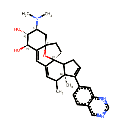 CC1C=C2C=C3[C@@H](O)[C@H](O)[C@@H](N(C)C)C[C@]34CC[C@]2(O4)C2CC=C(c3ccc4cncnc4c3)[C@@]12C